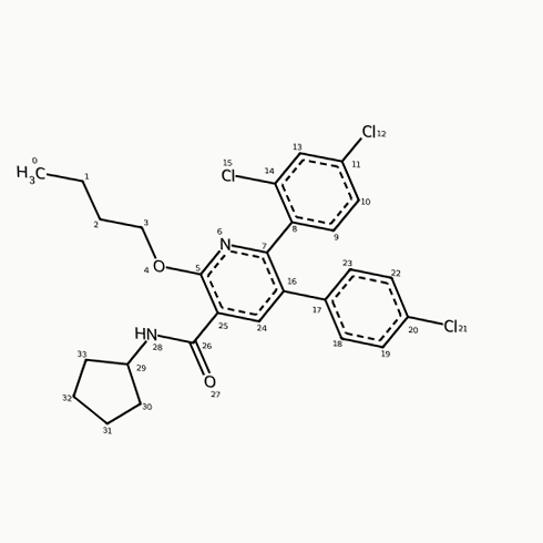 CCCCOc1nc(-c2ccc(Cl)cc2Cl)c(-c2ccc(Cl)cc2)cc1C(=O)NC1CCCC1